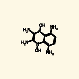 NC1=C(N)N(O)c2c(N)ccc(N)c2N1O